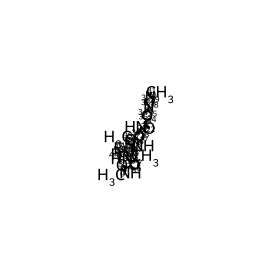 CNC(=O)c1cccc(C)c1Nc1nc(Nc2ccc(NC(=O)C3CCC(N4CCN(C)CC4)CC3)cc2OC)ncc1C(F)(F)F